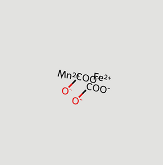 O=C([O-])[O-].O=C([O-])[O-].[Fe+2].[Mn+2]